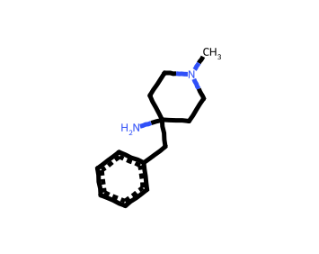 CN1CCC(N)(Cc2ccccc2)CC1